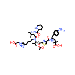 CC[C@H](C)[C@H](NC(=O)C1CCCCN1C)C(=O)N(CCCCc1cn(CC(=O)O)nn1)[C@H](C[C@@H](OC(C)=O)c1nc(C(=O)NC(Cc2ccc(N)cc2)CC(C)(C)C(=O)O)cs1)C(C)C